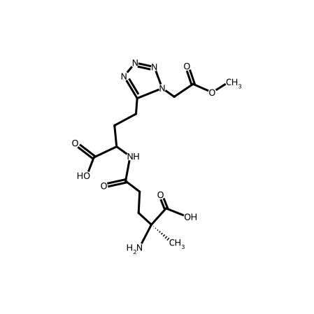 COC(=O)Cn1nnnc1CCC(NC(=O)CC[C@](C)(N)C(=O)O)C(=O)O